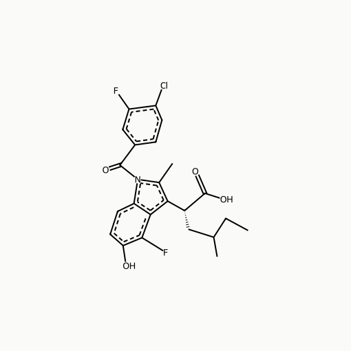 CCC(C)C[C@@H](C(=O)O)c1c(C)n(C(=O)c2ccc(Cl)c(F)c2)c2ccc(O)c(F)c12